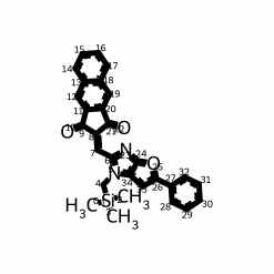 C[Si](C)(C)Cn1c(C=C2C(=O)c3cc4ccccc4cc3C2=O)nc2oc(-c3ccccc3)cc21